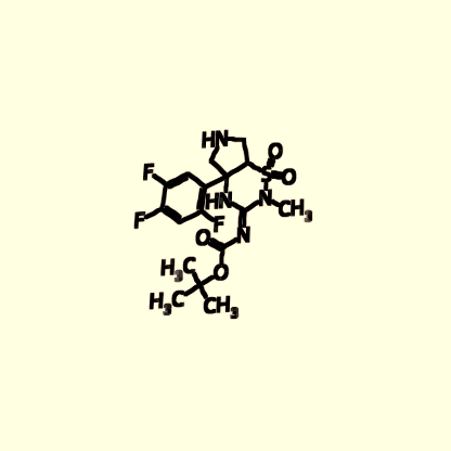 CN1/C(=N/C(=O)OC(C)(C)C)NC2(c3cc(F)c(F)cc3F)CNCC2S1(=O)=O